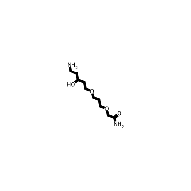 NCCC(O)CCOCCCOCC(N)=O